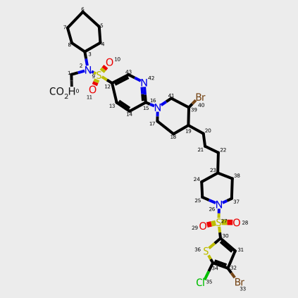 O=C(O)CN(C1CCCCC1)S(=O)(=O)c1ccc(N2CCC(CCCC3CCN(S(=O)(=O)c4cc(Br)c(Cl)s4)CC3)C(Br)C2)nc1